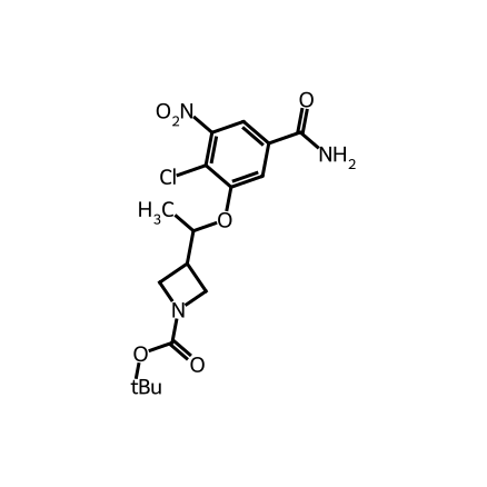 CC(Oc1cc(C(N)=O)cc([N+](=O)[O-])c1Cl)C1CN(C(=O)OC(C)(C)C)C1